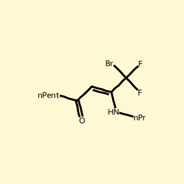 CCCCCC(=O)/C=C(\NCCC)C(F)(F)Br